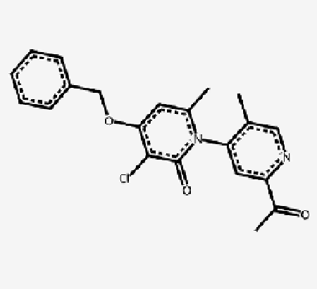 CC(=O)c1cc(-n2c(C)cc(OCc3ccccc3)c(Cl)c2=O)c(C)cn1